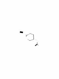 C#C[C@@H]1CC[C@@H](NC(=O)O)CO1